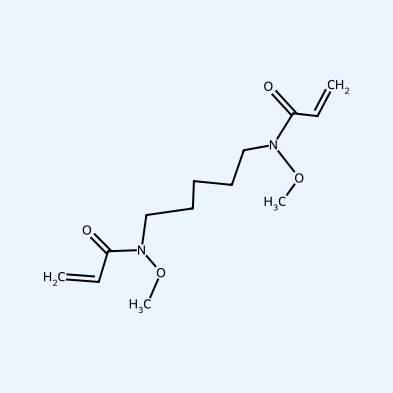 C=CC(=O)N(CCCCCN(OC)C(=O)C=C)OC